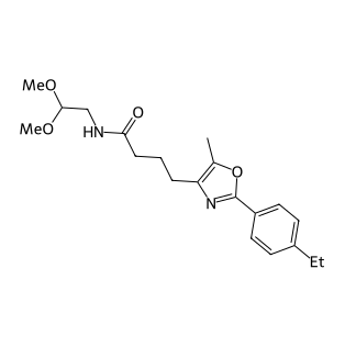 CCc1ccc(-c2nc(CCCC(=O)NCC(OC)OC)c(C)o2)cc1